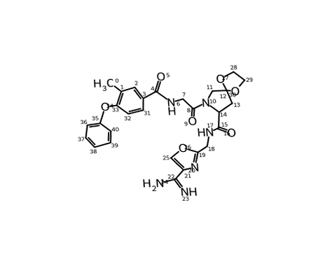 Cc1cc(C(=O)NCC(=O)N2CC3(CC2C(=O)NCc2nc(C(=N)N)co2)OCCO3)ccc1Oc1ccccc1